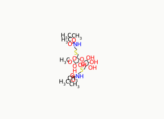 CO[C@@H]1OC(CSCCNC(=O)OC(C)(C)C)[C@@H](O[C@H]2OC(CSCCNC(=O)OC(C)(C)C)[C@@H](O)C(O)C2O)C(O)C1O